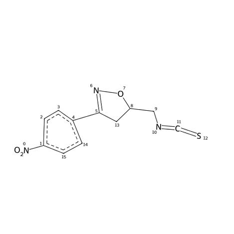 O=[N+]([O-])c1ccc(C2=NOC(CN=C=S)C2)cc1